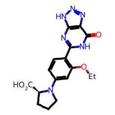 CCOc1cc(N2CCC[C@H]2C(=O)O)ccc1-c1nc2[nH]nnc2c(=O)[nH]1